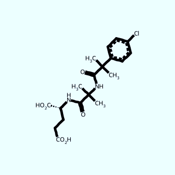 CC(C)(NC(=O)C(C)(C)c1ccc(Cl)cc1)C(=O)N[C@H](CCC(=O)O)C(=O)O